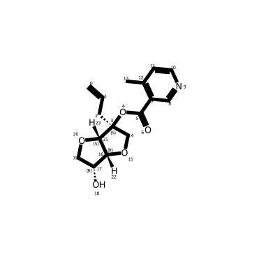 C=CC[C@]1(OC(=O)c2cnccc2C)CO[C@@H]2[C@H](O)CO[C@@H]21